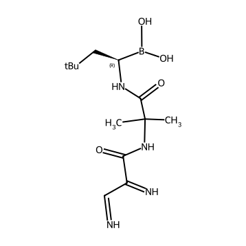 CC(C)(C)C[C@H](NC(=O)C(C)(C)NC(=O)C(=N)C=N)B(O)O